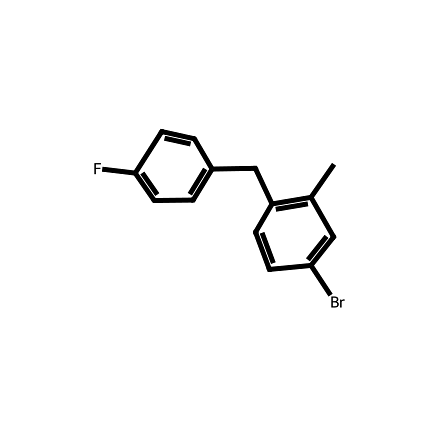 Cc1cc(Br)ccc1Cc1ccc(F)cc1